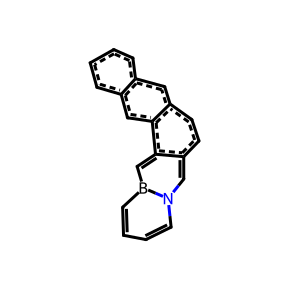 C1=CB2C=c3c(ccc4cc5ccccc5cc34)=CN2C=C1